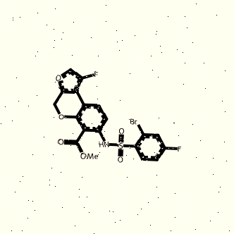 COC(=O)c1c(NS(=O)(=O)c2ccc(F)cc2Br)ccc2c1OCc1occ(F)c1-2